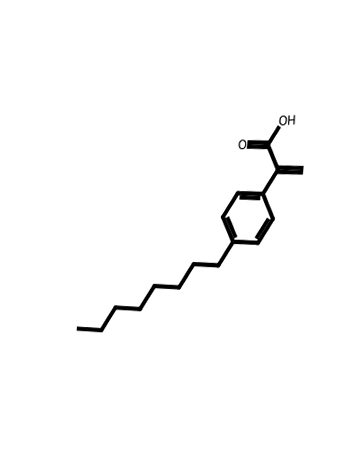 C=C(C(=O)O)c1ccc(CCCCCCCC)cc1